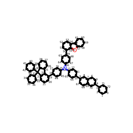 c1ccc(-c2ccc3cc(-c4ccc(N(c5ccc(-c6cccc7c6-c6ccccc6C7(c6ccccc6)c6ccccc6)cc5)c5ccc(-c6cccc7c6oc6ccccc67)cc5)cc4)ccc3c2)cc1